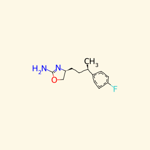 C[C@H](CC[C@H]1COC(N)=N1)c1ccc(F)cc1